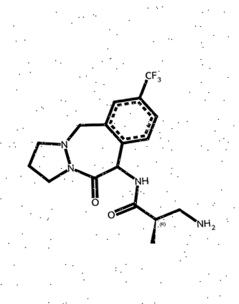 C[C@H](CN)C(=O)NC1C(=O)N2CCCN2Cc2cc(C(F)(F)F)ccc21